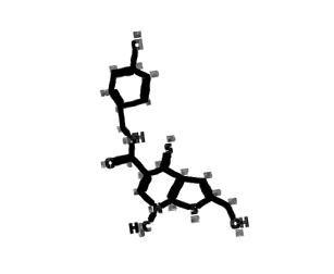 Cn1cc(C(=O)NCc2ccc(Cl)cc2)c(=S)c2cc(CO)sc21